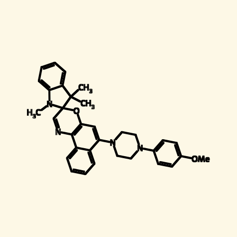 COc1ccc(N2CCN(c3cc4c(c5ccccc35)N=CC3(O4)N(C)c4ccccc4C3(C)C)CC2)cc1